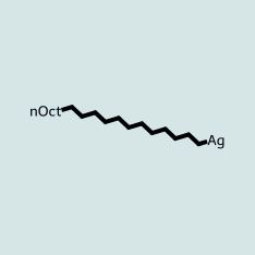 CCCCCCCCCCCCCCCCCCC[CH2][Ag]